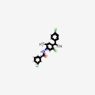 Cc1cc(C(C#N)c2ccc(Cl)cc2)c(Cl)cc1NC(=O)c1cccc(F)c1